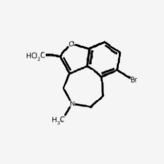 CN1CCc2c(Br)ccc3oc(C(=O)O)c(c23)C1